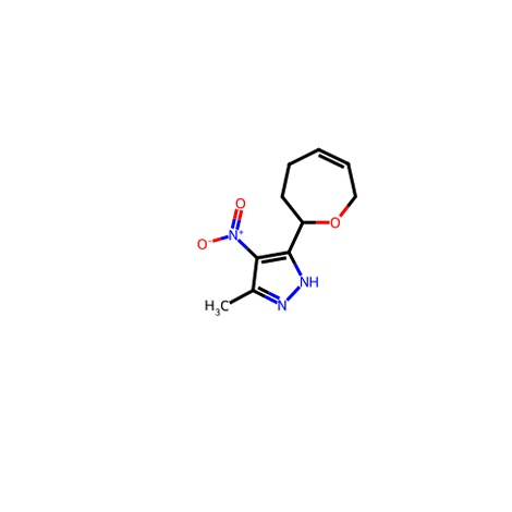 Cc1n[nH]c(C2CCC=CCO2)c1[N+](=O)[O-]